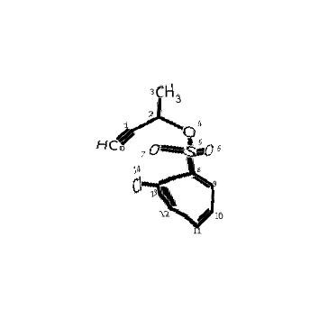 C#CC(C)OS(=O)(=O)c1ccccc1Cl